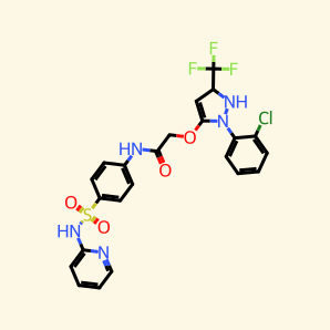 O=C(COC1=CC(C(F)(F)F)NN1c1ccccc1Cl)Nc1ccc(S(=O)(=O)Nc2ccccn2)cc1